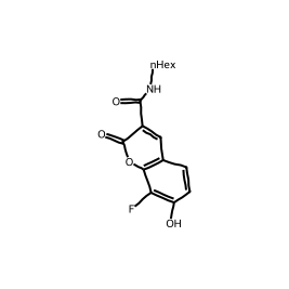 CCCCCCNC(=O)c1cc2ccc(O)c(F)c2oc1=O